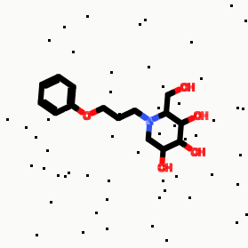 OCC1C(O)C(O)C(O)CN1CCCOc1ccccc1